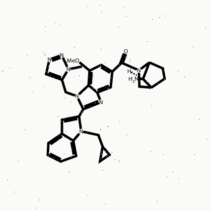 COc1cc(C(=O)N2CC3CCC2[C@@H]3N)cc2nc(-c3cc4ccccc4n3CC3CC3)n(Cc3cnnn3C)c12